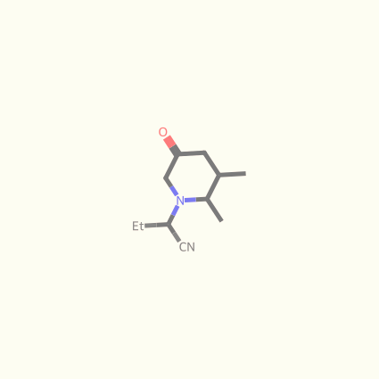 CCC(C#N)N1CC(=O)CC(C)C1C